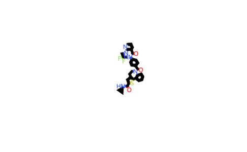 O=C(NC1CC1)c1cc2c(s1)-c1ccccc1N(C(=O)c1ccc(NC(=O)c3cccnc3N3CC(F)(F)C3)cc1)CC2